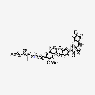 COc1cc2c(Oc3ccc(NC(=O)C4(C(=O)Nc5ccc(F)cc5)CC4)cc3F)ccnc2cc1OC/C=C/CCNC(=O)CSC(C)=O